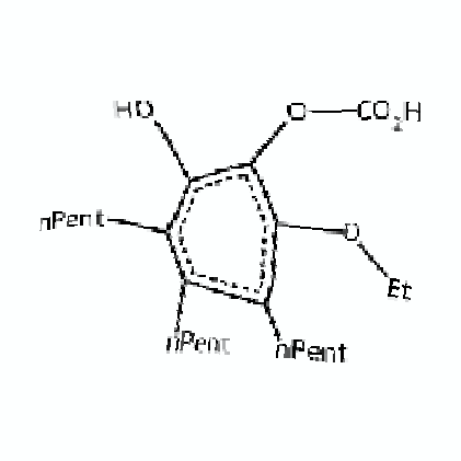 CCCCCc1c(O)c(OC(=O)O)c(OCC)c(CCCCC)c1CCCCC